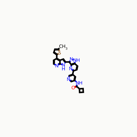 Cc1ccc(-c2ccnc3[nH]c(-c4n[nH]c5ccc(-c6cncc(NC(=O)C7CCC7)c6)nc45)cc23)s1